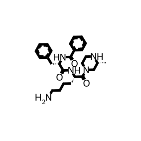 C[C@@H]1CN(C(=O)[C@H](CCCCN)NC(=O)[C@H](Cc2ccccc2)NC(=O)c2ccccc2)CCN1